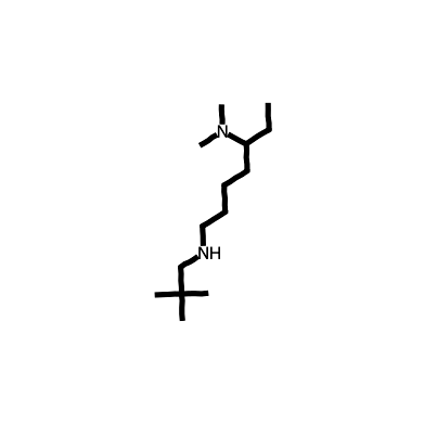 CCC(CCCCNCC(C)(C)C)N(C)C